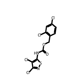 O=C(Nc1snc(Cl)c1Cl)OCc1ccc(Cl)cc1Cl